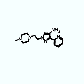 CN1CCN(CCn2cc(N)c(-c3ccccn3)n2)CC1